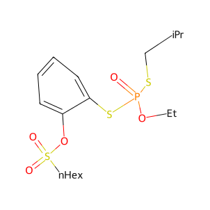 CCCCCCS(=O)(=O)Oc1ccccc1SP(=O)(OCC)SCC(C)C